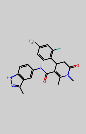 CC1=C(C(=O)Nc2ccc3[nH]nc(C)c3c2)C(c2ccc(C(F)(F)F)cc2F)CC(=O)N1C